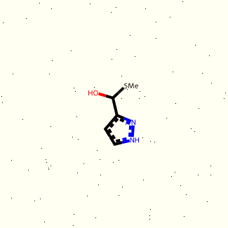 CSC(O)c1cc[nH]n1